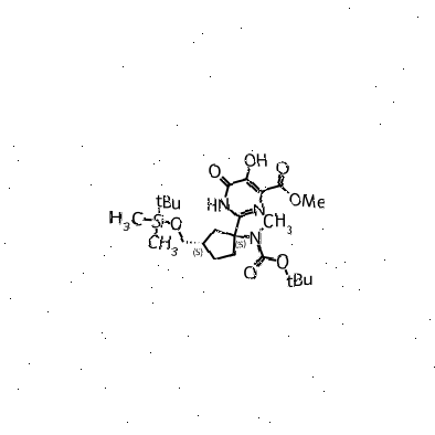 COC(=O)c1nc([C@]2(N(C)C(=O)OC(C)(C)C)CC[C@H](CO[Si](C)(C)C(C)(C)C)C2)[nH]c(=O)c1O